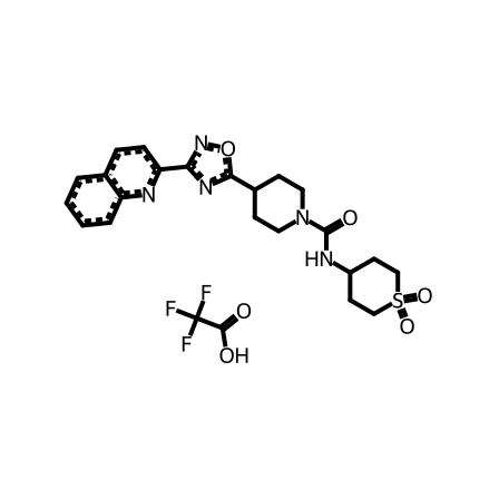 O=C(NC1CCS(=O)(=O)CC1)N1CCC(c2nc(-c3ccc4ccccc4n3)no2)CC1.O=C(O)C(F)(F)F